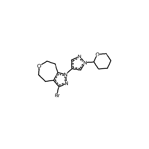 Brc1nn(-c2cnn(C3CCCCO3)c2)c2c1CCOCC2